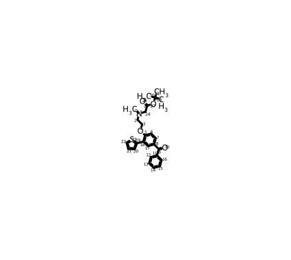 CN(CCOc1ccc(C(=O)c2ccccc2)cc1-c1cccs1)CC(=O)OC(C)(C)C